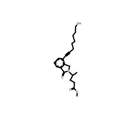 COC(=O)CCC(C)N1Cc2c(C#CCCCCCCO)cccc2C1=O